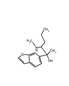 CCCC(NC)C(C)(O)c1ccc2ccoc2c1